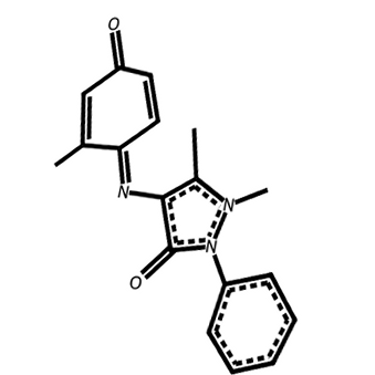 CC1=CC(=O)C=CC1=Nc1c(C)n(C)n(-c2ccccc2)c1=O